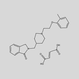 Cc1ccccc1OCCN1CCC(CN2Cc3ccccc3C2=O)CC1.O=C(O)C=CC(=O)O